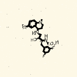 CCc1ccc2c(c1)C(NC[C@H](O)[C@H](Cc1cc(F)cc(F)c1)NC(=O)O)CCN2C